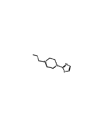 CCCN1CCN(c2nccs2)CC1